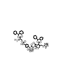 Cn1nnnc1SCC1=C(C(=O)OC(c2ccccc2)c2ccccc2)N2C(=O)[C@@H](NC(=O)[C@@H](c3ccc(NC(=O)OCC(N)C(=O)OC(c4ccccc4)c4ccccc4)cc3)S(=O)(=O)O)[C@H]2SC1